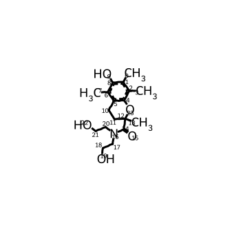 Cc1c(C)c2c(c(C)c1O)CCC(C)(C(=O)N(CCO)CCO)O2